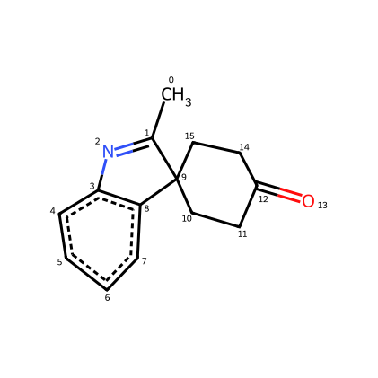 CC1=Nc2ccccc2C12CCC(=O)CC2